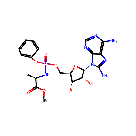 CC(C)OC(=O)[C@@H](C)NP(=O)(OC[C@H]1O[C@H](n2c(N)nc3c(N)ncnc32)[C@H](O)[C@@H]1O)Oc1ccccc1